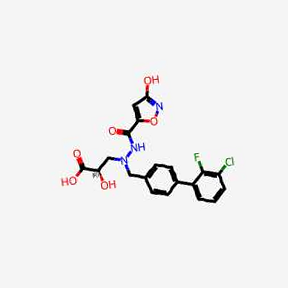 O=C(NN(Cc1ccc(-c2cccc(Cl)c2F)cc1)C[C@@H](O)C(=O)O)c1cc(O)no1